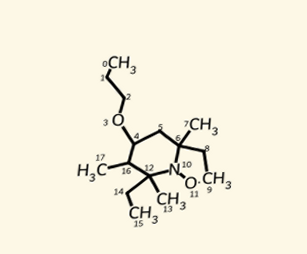 CCCOC1CC(C)(CC)N([O])C(C)(CC)C1C